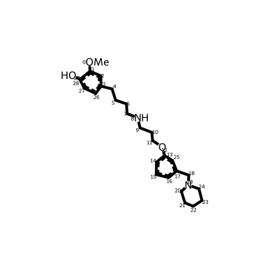 COc1cc(CCCCNCCCOc2cccc(CN3CCCCC3)c2)ccc1O